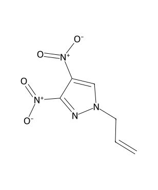 C=CCn1cc([N+](=O)[O-])c([N+](=O)[O-])n1